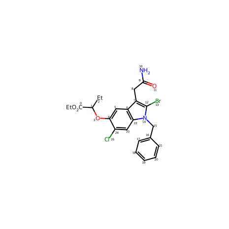 CCOC(=O)C(CC)Oc1cc2c(CC(N)=O)c(Br)n(Cc3ccccc3)c2cc1Cl